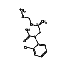 COCO[C@@H](C)CN(C(=O)O)c1ccccc1Cl